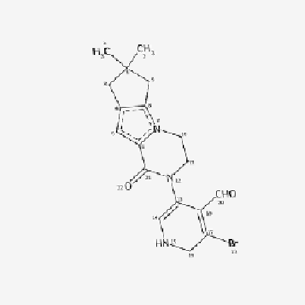 CC1(C)Cc2cc3n(c2C1)CCN(C1=CNCC(Br)=C1C=O)C3=O